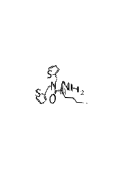 [CH2]CCC[C@H](N)C(=O)N(Cc1cccs1)Cc1cccs1